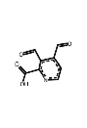 O=Cc1ccnc(C(=O)O)c1C=O